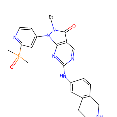 CCn1c(=O)c2cnc(Nc3ccc4c(c3)CCNC4)nc2n1-c1ccnc(P(C)(C)=O)c1